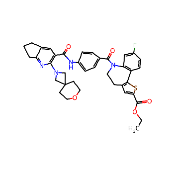 CCOC(=O)c1cc2c(s1)-c1ccc(F)cc1N(C(=O)c1ccc(NC(=O)c3cc4c(nc3N3CC5(CCOCC5)C3)CCC4)cc1)CC2